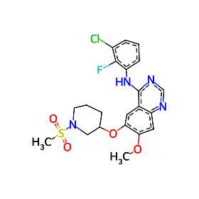 COc1cc2ncnc(Nc3cccc(Cl)c3F)c2cc1OC1CCCN(S(C)(=O)=O)C1